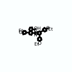 CCOc1ccc(-c2cc(-c3ccc(OCC)cc3)c3nc4n(c3c2)C(O)c2cccc3c(-c5ccc(OCC)cc5)ccc-4c23)cc1